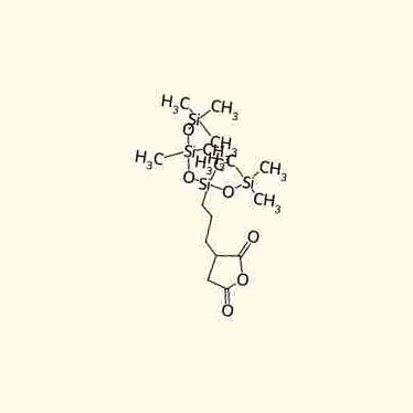 C[Si](C)(C)O[Si](C)(C)O[Si](C)(CCCC1CC(=O)OC1=O)O[Si](C)(C)C